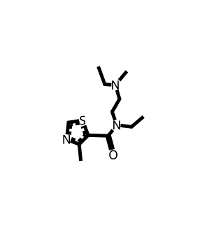 CCN(C)CCN(CC)C(=O)c1scnc1C